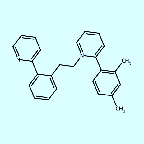 Cc1ccc(-c2cccc[n+]2CCc2ccccc2-c2ccccn2)c(C)c1